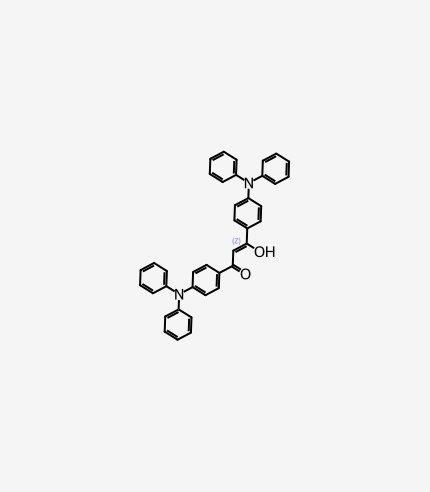 O=C(/C=C(\O)c1ccc(N(c2ccccc2)c2ccccc2)cc1)c1ccc(N(c2ccccc2)c2ccccc2)cc1